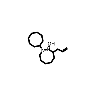 C=CCC1CCCCCN(C2CCCCCCC2)N1O